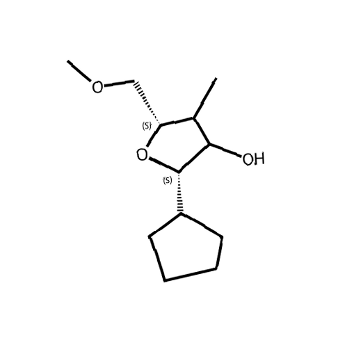 COC[C@H]1O[C@@H](C2CCCC2)C(O)C1C